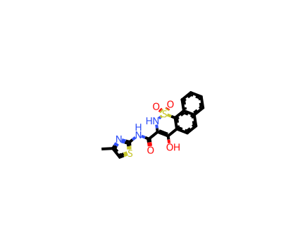 Cc1csc(NC(=O)C2=C(O)c3ccc4ccccc4c3S(=O)(=O)N2)n1